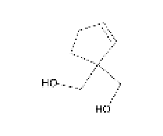 OCC1(CO)C=CCC1